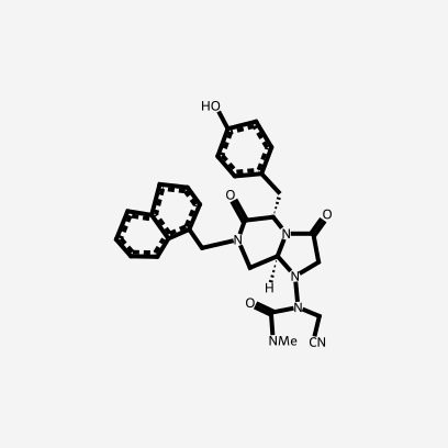 CNC(=O)N(CC#N)N1CC(=O)N2[C@@H](Cc3ccc(O)cc3)C(=O)N(Cc3cccc4ccccc34)C[C@@H]21